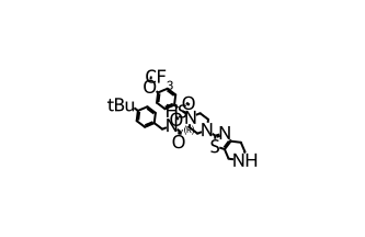 CC(C)(C)c1ccc(CNC(=O)[C@H]2CN(c3nc4c(s3)CNCC4)CCN2S(=O)(=O)c2ccc(OC(F)(F)F)cc2)cc1